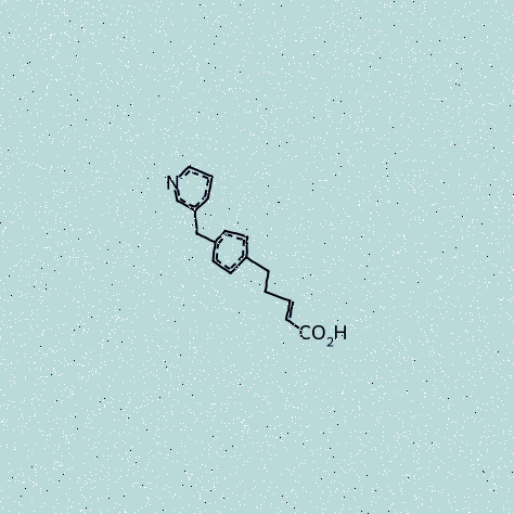 O=C(O)C=CCCc1ccc(Cc2cccnc2)cc1